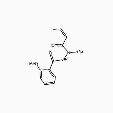 C/C=C\C(=O)N(NC(=O)c1ccccc1OC)C(C)(C)C